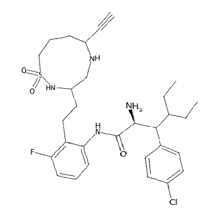 C#CC1CCCS(=O)(=O)NC(CCc2c(F)cccc2NC(=O)[C@@H](N)C(c2ccc(Cl)cc2)C(CC)CC)CN1